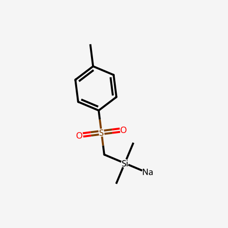 Cc1ccc(S(=O)(=O)C[Si](C)(C)[Na])cc1